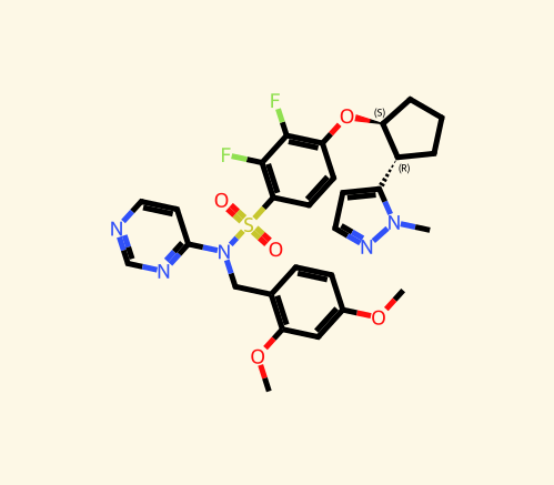 COc1ccc(CN(c2ccncn2)S(=O)(=O)c2ccc(O[C@H]3CCC[C@@H]3c3ccnn3C)c(F)c2F)c(OC)c1